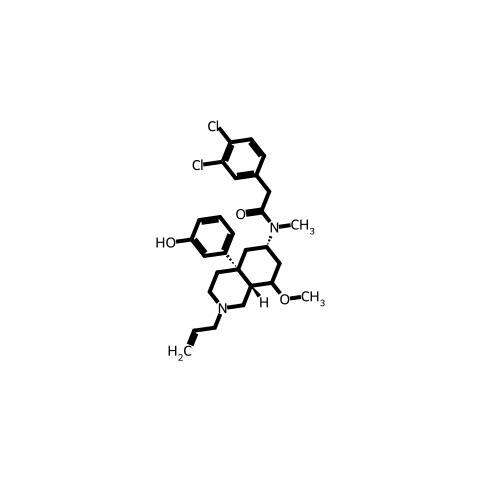 C=CCN1CC[C@@]2(c3cccc(O)c3)C[C@H](N(C)C(=O)Cc3ccc(Cl)c(Cl)c3)CC(OC)[C@@H]2C1